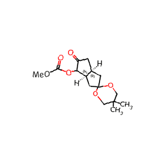 COC(=O)OC1C(=O)C[C@H]2CC3(C[C@@H]12)OCC(C)(C)CO3